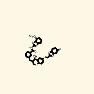 COc1cccc2sc(NC(=O)c3cccc(CC4COc5ccc(OCc6nc7cc(F)ccc7s6)cc5C4O)c3)nc12